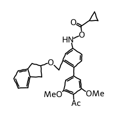 COc1cc(-c2ccc(NOC(=O)C3CC3)cc2COC2Cc3ccccc3C2)cc(OC)c1C(C)=O